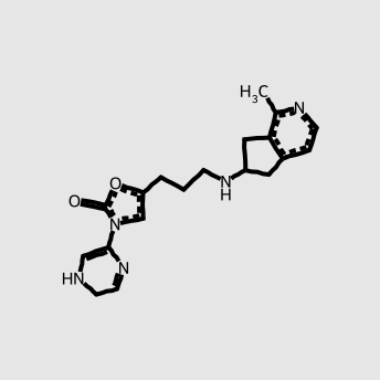 Cc1nccc2c1CC(NCCCc1cn(C3=CNCC=N3)c(=O)o1)C2